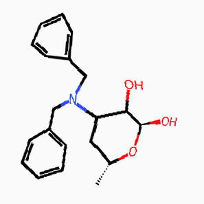 C[C@@H]1CC(N(Cc2ccccc2)Cc2ccccc2)C(O)[C@@H](O)O1